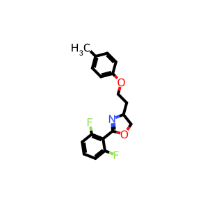 Cc1ccc(OCCC2COC(c3c(F)cccc3F)=N2)cc1